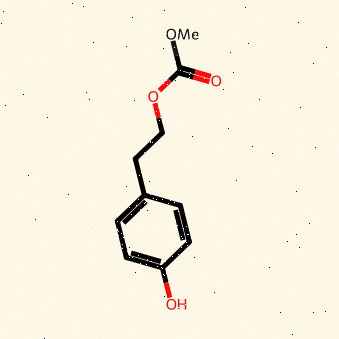 COC(=O)OCCc1ccc(O)cc1